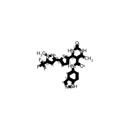 CC1=C(C(=O)Nc2ccc3[nH]ncc3c2)C(c2ccc(-c3cc(C(F)(F)F)n(C)n3)s2)NC(=O)N1